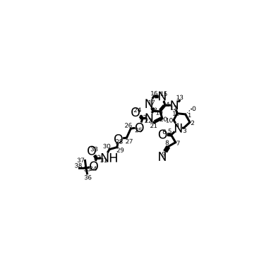 C[C@@H]1CCN(C(=O)CC#N)CC1N(C)c1ncnc2c1ccn2C(=O)OCCOCCNC(=O)OC(C)(C)C